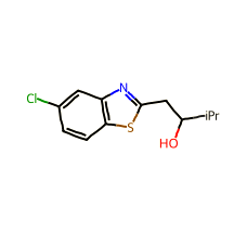 CC(C)C(O)Cc1nc2cc(Cl)ccc2s1